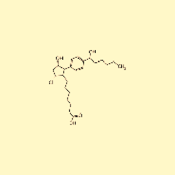 CCCCCC(O)c1ccc(C2C(CCCCCCC(=O)O)[C@H](Cl)C[C@H]2O)cc1